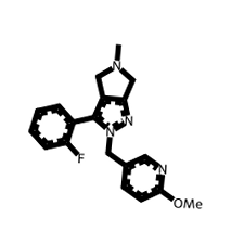 COc1ccc(Cn2nc3c(c2-c2ccccc2F)CN(C)C3)cn1